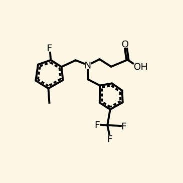 Cc1ccc(F)c(CN(CCC(=O)O)Cc2cccc(C(F)(F)F)c2)c1